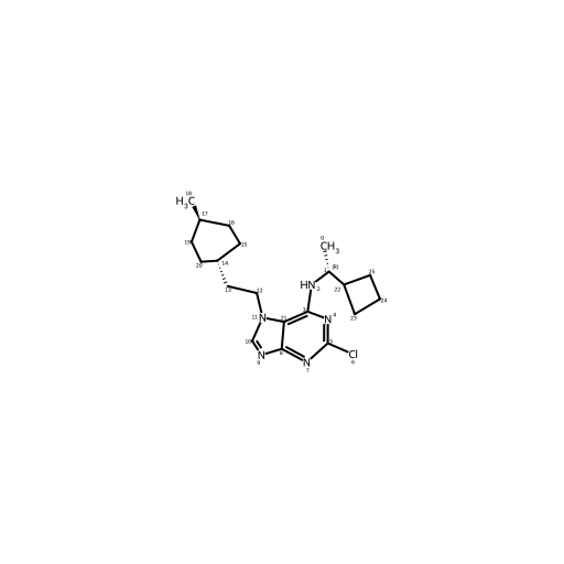 C[C@@H](Nc1nc(Cl)nc2ncn(CC[C@H]3CC[C@H](C)CC3)c12)C1CCC1